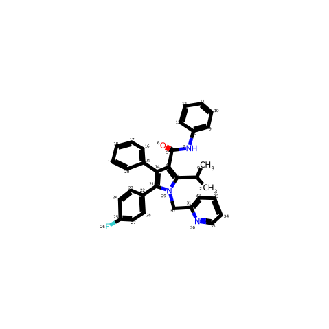 CC(C)c1c(C(=O)Nc2ccccc2)c(-c2ccccc2)c(-c2ccc(F)cc2)n1Cc1ccccn1